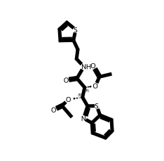 CC(=O)O[C@@H](C(=O)NCCc1cccs1)[C@@H](OC(C)=O)c1nc2ccccc2s1